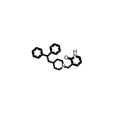 O=c1[nH]cccc1CN1CCC(CC(c2ccccc2)c2ccccc2)CC1